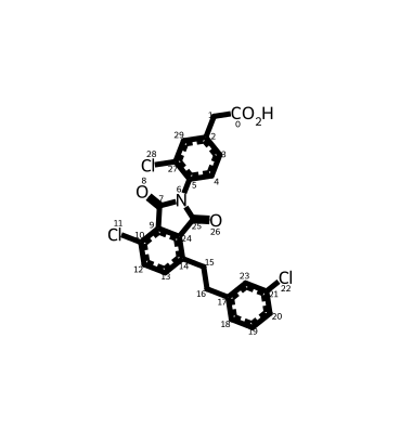 O=C(O)Cc1ccc(N2C(=O)c3c(Cl)ccc(CCc4cccc(Cl)c4)c3C2=O)c(Cl)c1